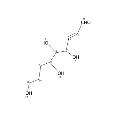 O=CC=CC(O)C(O)C(O)CCCO